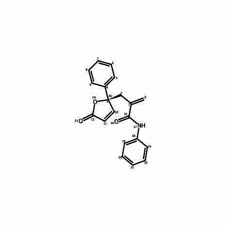 C=C(C[C@@]1(c2ccccc2)C=CC(=O)O1)C(=O)Nc1ccccc1